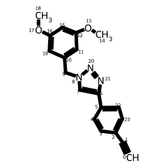 C#Cc1ccc(-c2cn(Cc3cc(OC)cc(OC)c3)nn2)cc1